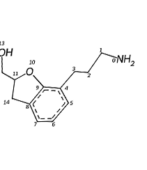 NCCCc1cccc2c1OC(CO)C2